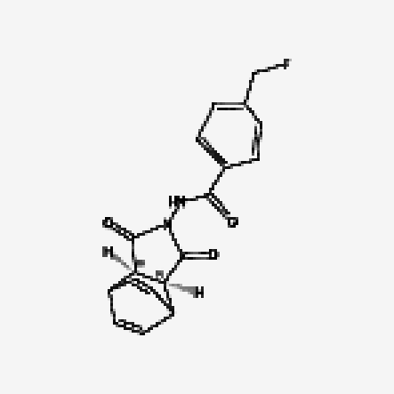 O=C(NN1C(=O)[C@@H]2C3C=CC(C=C3)[C@@H]2C1=O)c1ccc(CF)cc1